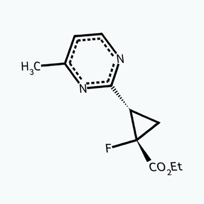 CCOC(=O)[C@]1(F)C[C@H]1c1nccc(C)n1